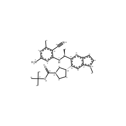 Cc1nc(N)nc(N[C@@H](C)c2nc3ccn(C)c3cc2[C@@H]2CCN(C(=O)OC(C)(C)C)C2)c1C#N